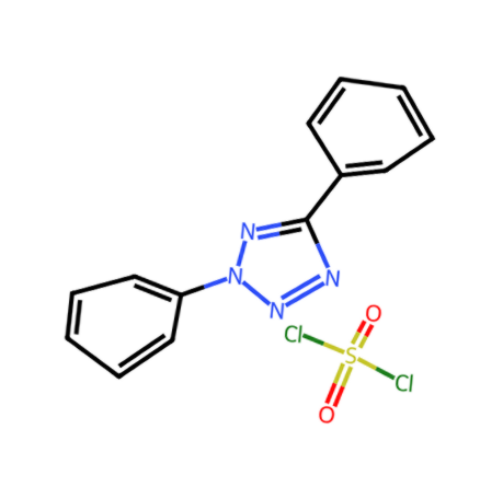 O=S(=O)(Cl)Cl.c1ccc(-c2nnn(-c3ccccc3)n2)cc1